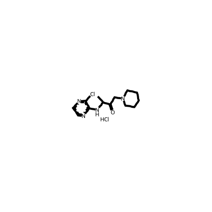 CC(Nc1nccnc1Cl)C(=O)CN1CCCCC1.Cl